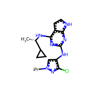 CC(C)n1cc(Nc2nc(N[C@@H](C)C3CC3)c3cc[nH]c3n2)c(Cl)n1